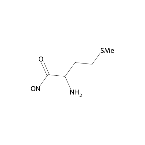 CSCCC(N)C(=O)N=O